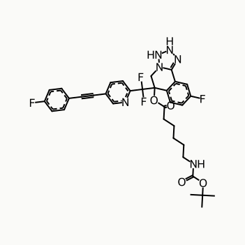 CC(C)(C)OC(=O)NCCCCCC(=O)OC1(C(F)(F)c2ccc(C#Cc3ccc(F)cc3)cn2)CN2NNN=C2c2cc(F)ccc21